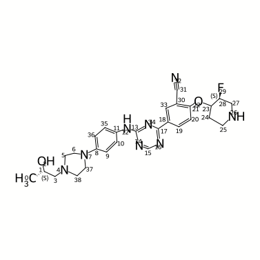 C[C@H](O)CN1CCN(c2ccc(Nc3ncnc(-c4ccc(OC5CCNC[C@@H]5F)c(C#N)c4)n3)cc2)CC1